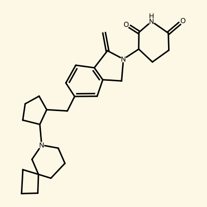 C=C1c2ccc(CC3CCCC3N3CCCC4(CCC4)C3)cc2CN1C1CCC(=O)NC1=O